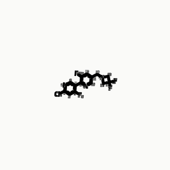 Fc1cc(Cl)ncc1-c1ncc(CN2CC(F)(F)C2)cc1F